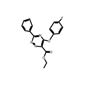 CCOC(=O)c1nnc(-c2ccccc2)nc1Oc1ccc(F)cc1